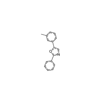 Cc1cccc(-c2cnc(-c3ccccc3)o2)c1